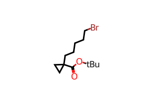 CC(C)(C)OC(=O)C1(CCCCCBr)CC1